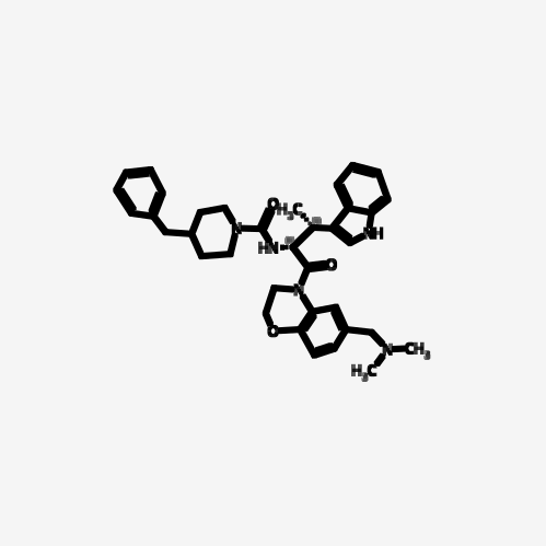 C[C@H](c1c[nH]c2ccccc12)[C@@H](NC(=O)N1CCC(Cc2ccccc2)CC1)C(=O)N1CCOc2ccc(CN(C)C)cc21